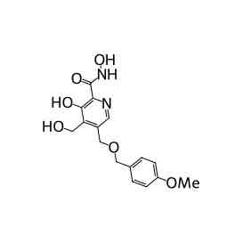 COc1ccc(COCc2cnc(C(=O)NO)c(O)c2CO)cc1